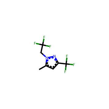 Cc1cc(C(F)(F)F)nn1[CH]C(F)(F)F